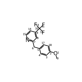 COc1ccc(Cc2cc(C(F)(F)F)ccn2)cc1